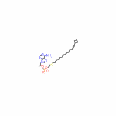 C[C@H](Cn1cnc2c(N)ncnc21)OCP(=O)(O)OCCSCCCCCCCCCCCCC#CC1CCC1